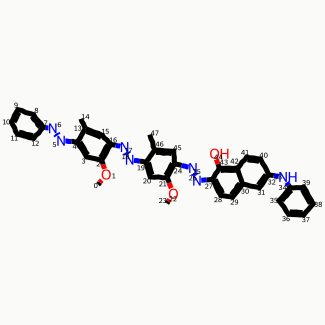 COc1cc(N=Nc2ccccc2)c(C)cc1N=Nc1cc(OC)c(N=Nc2ccc3cc(Nc4ccccc4)ccc3c2O)cc1C